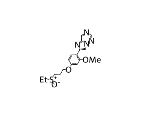 CC[S+]([O-])CCCOc1ccc(-c2cn3ncncc3n2)c(OC)c1